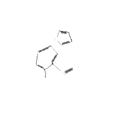 O=C(O)c1ccccc1N=S.c1cc[nH]c1